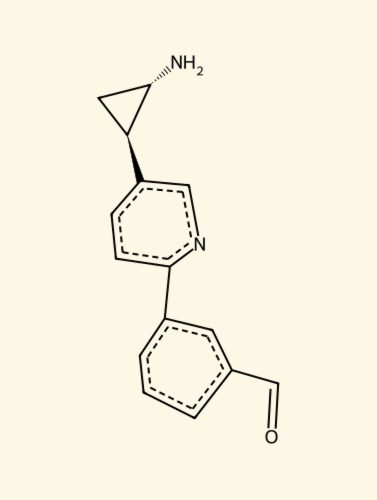 N[C@H]1C[C@@H]1c1ccc(-c2cccc(C=O)c2)nc1